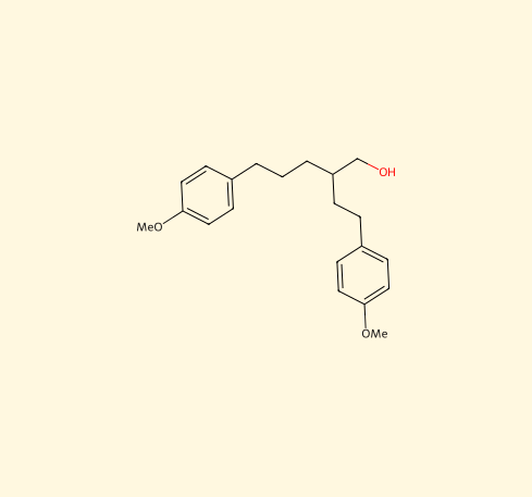 COc1ccc(CCCC(CO)CCc2ccc(OC)cc2)cc1